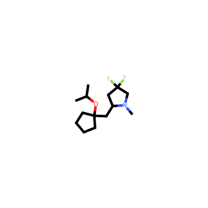 CC(C)OC1(CC2CC(F)(F)CN2C)CCCC1